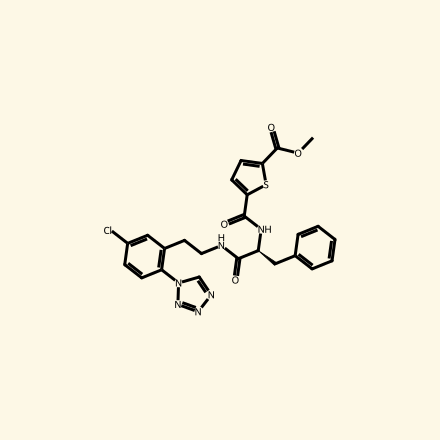 COC(=O)c1ccc(C(=O)N[C@@H](Cc2ccccc2)C(=O)NCCc2cc(Cl)ccc2-n2cnnn2)s1